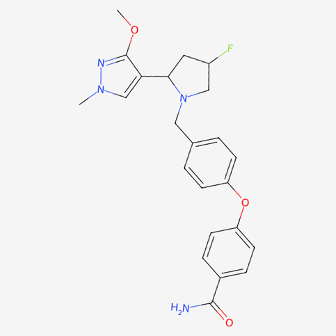 COc1nn(C)cc1C1CC(F)CN1Cc1ccc(Oc2ccc(C(N)=O)cc2)cc1